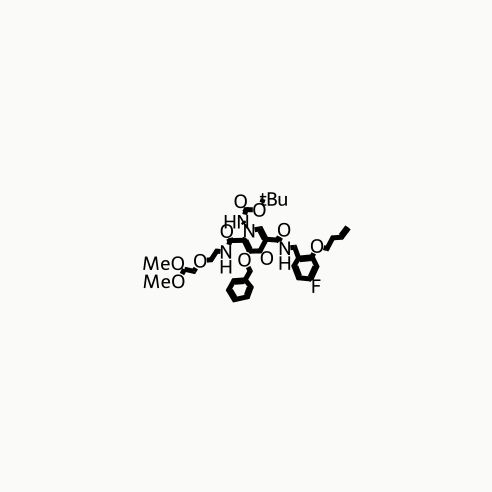 C=CCCOc1cc(F)ccc1CNC(=O)c1cn(NC(=O)OC(C)(C)C)c(C(=O)NCCOCC(OC)OC)c(OCc2ccccc2)c1=O